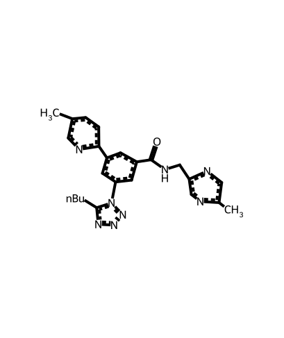 CCCCc1nnnn1-c1cc(C(=O)NCc2cnc(C)cn2)cc(-c2ccc(C)cn2)c1